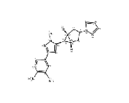 CC(C)n1nc(-c2cnc(N)c(C(F)(F)F)c2)cc1[C@H]1[C@@H]2CC(n3cccn3)C[C@@H]21